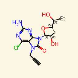 C#CCn1c(=O)n([C@@H]2O[C@H]([C@@H](O)CC)C[C@H]2O)c2nc(N)nc(Cl)c21